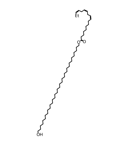 CC/C=C\C/C=C\C/C=C\CCCCCCCC(=O)OCCCCCCCCCCCCCCCCCCCCCCCCCCCCCCCCCCO